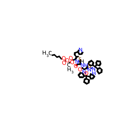 CCCCCCOC(=O)OC(C)OC(=O)C1=C(/C=C\c2cccnc2)CS[C@@H]2[C@H](NC(=O)/C(=N/OC(c3ccccc3)(c3ccccc3)c3ccccc3)c3csc(NC(c4ccccc4)(c4ccccc4)c4ccccc4)n3)C(=O)N12